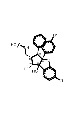 O=C(O)NC[C@H]1[C@@H](O)[C@@]2(O)c3ncc(Cl)cc3O[C@@]2(c2ccc(Br)cc2)[C@@H]1c1ccccc1